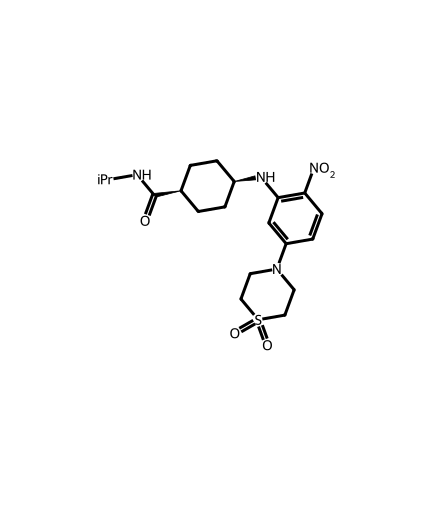 CC(C)NC(=O)[C@H]1CC[C@@H](Nc2cc(N3CCS(=O)(=O)CC3)ccc2[N+](=O)[O-])CC1